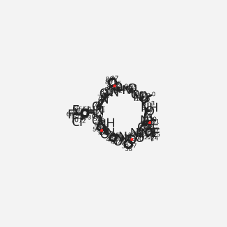 CC[C@H](C)[C@@H]1NC(=O)[C@H](CC(C)C)N(C)C(=O)C[C@@H](C(=O)N2CC(F)(F)C(F)(F)C2)N(C)C(=O)[C@H](C2CCCCC2)N(C)C(=O)C2(CCCC2)NC(=O)[C@@H]2CCCN2C(=O)[C@H](CCc2ccc(C(F)(F)F)c(Cl)c2)NC(=O)CN(C)C(=O)[C@H](CC2CCCCC2)N(C)C(=O)CN(C)C(=O)CN(C)C1=O